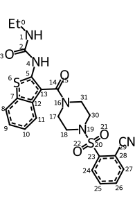 CCNC(=O)Nc1sc2ccccc2c1C(=O)N1CCN(S(=O)(=O)c2ccccc2C#N)CC1